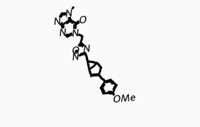 COc1ccc(C2=CC3C(C2)C3c2noc(Cn3cnc4ncn(C)c4c3=O)n2)cc1